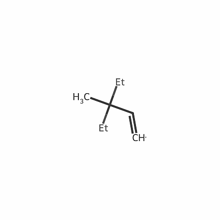 [CH]=CC(C)(CC)CC